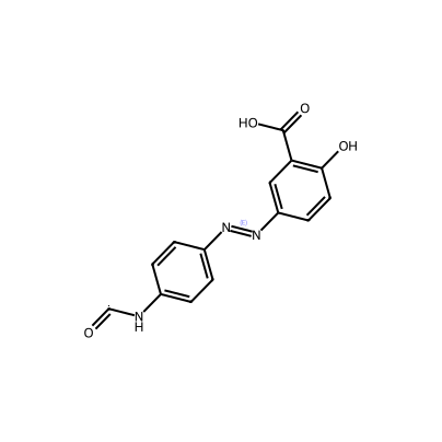 O=[C]Nc1ccc(/N=N/c2ccc(O)c(C(=O)O)c2)cc1